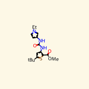 CCn1ccc(NC(=O)Nc2cc(C(C)(C)C)sc2C(=O)OC)c1